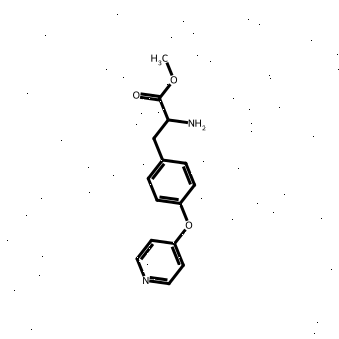 COC(=O)C(N)Cc1ccc(Oc2ccncc2)cc1